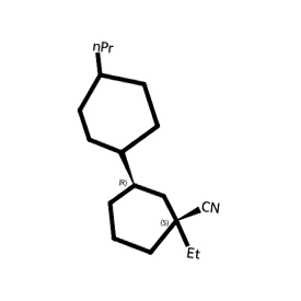 CCCC1CCC([C@@H]2CCC[C@@](C#N)(CC)C2)CC1